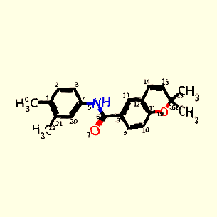 Cc1ccc(NC(=O)c2ccc3c(c2)C=CC(C)(C)O3)cc1C